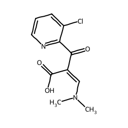 CN(C)C=C(C(=O)O)C(=O)c1ncccc1Cl